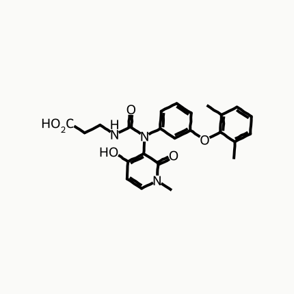 Cc1cccc(C)c1Oc1cccc(N(C(=O)NCCC(=O)O)c2c(O)ccn(C)c2=O)c1